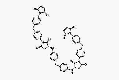 O=C1C=CC(=O)N1c1ccc(Cc2ccc(N3C(=O)CC(Nc4ccc(Cc5ccc(NC6CC(=O)N(c7ccc(Cc8ccc(N9C(=O)C=CC9=O)cc8)cc7)C6=O)cc5)cc4)C3=O)cc2)cc1